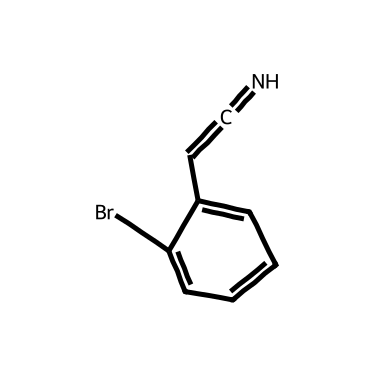 N=C=Cc1ccccc1Br